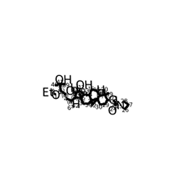 CCO[C@@H]([C@H]1C[C@@H](C)[C@H]2[C@H](O1)[C@H](O)[C@@]1(C)C3CC[C@H]4C(C)(C)C(OC(=O)N5CCC5)CCC45CC35CCC21C)C(C)(C)O